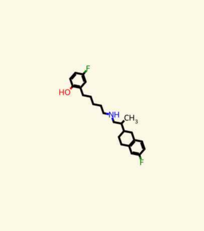 CC(CNCCCCCc1cc(F)ccc1O)C1CCc2cc(F)ccc2C1